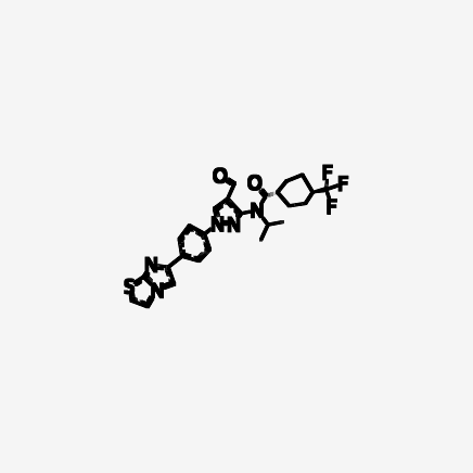 CC(C)N(c1nn(-c2ccc(-c3cn4ccsc4n3)cc2)cc1C=O)C(=O)[C@H]1CC[C@H](C(F)(F)F)CC1